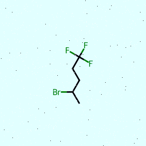 CC(Br)CCC(F)(F)F